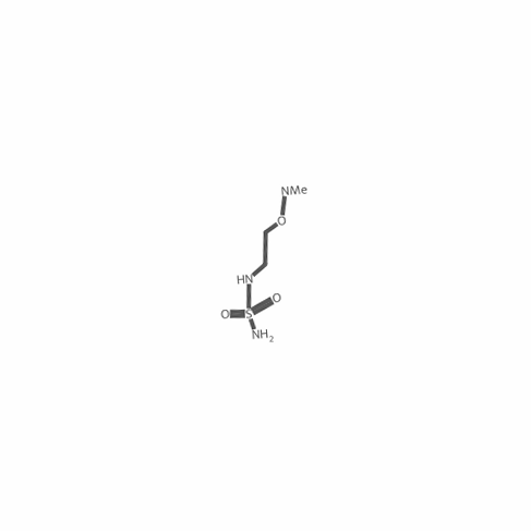 CNOCCNS(N)(=O)=O